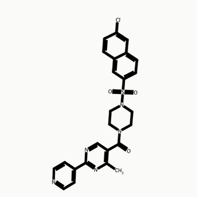 Cc1nc(-c2ccncc2)ncc1C(=O)N1CCN(S(=O)(=O)c2ccc3cc(Cl)ccc3c2)CC1